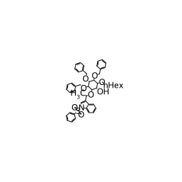 CCCCCCOC1C(O)C(OC(C)c2cn(S(=O)(=O)c3ccccc3)c3ccccc23)C(OCc2ccccc2)C(OCc2ccccc2)C1OCc1ccccc1